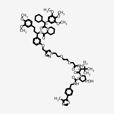 COc1ccc(CCC(OC(=O)C2CCCCN2C(=O)[C@H](c2cc(OC)c(OC)c(OC)c2)C2CCCCC2)c2cccc(OCc3cn(CCOCCOCC(=O)N[C@H](C(=O)N4C[C@H](O)C[C@H]4C(=O)NCc4ccc(-c5scnc5C)cc4)C(C)(C)C)nn3)c2)cc1OC